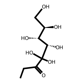 CCC(=O)C(O)(O)[C@@H](O)[C@H](O)[C@H](O)CO